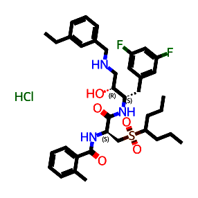 CCCC(CCC)S(=O)(=O)C[C@@H](NC(=O)c1ccccc1C)C(=O)N[C@@H](Cc1cc(F)cc(F)c1)[C@H](O)CNCc1cccc(CC)c1.Cl